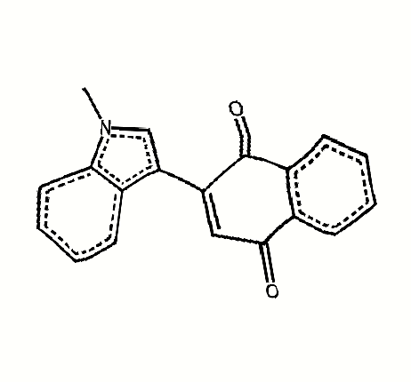 Cn1cc(C2=CC(=O)c3ccccc3C2=O)c2ccccc21